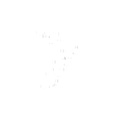 CCO[Si](O)(O)O.CCO[Si](O)(O)O.CCO[Si](O)(O)O.CCO[Si](O)(O)O.[SiH4].[SiH4].[SiH4]